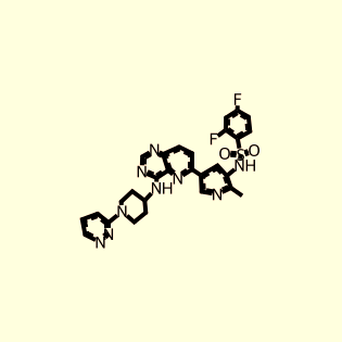 Cc1ncc(-c2ccc3ncnc(NC4CCN(c5cccnn5)CC4)c3n2)cc1NS(=O)(=O)c1ccc(F)cc1F